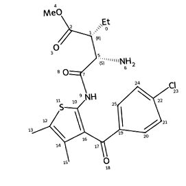 CC[C@@H](C(=O)OC)[C@H](N)C(=O)Nc1sc(C)c(C)c1C(=O)c1ccc(Cl)cc1